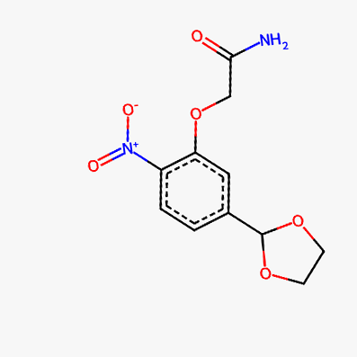 NC(=O)COc1cc(C2OCCO2)ccc1[N+](=O)[O-]